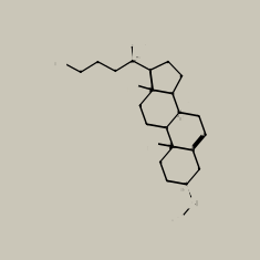 CCCN[C@H]1CCC2(C)C(=CC[C@H]3C2CCC2(C)C3CCC2[C@H](C)CCCC(C)C)C1